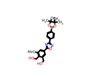 COc1cc(-c2nc(-c3ccc(B4OC(C)(C)C(C)(C)O4)cc3)no2)cc(CO)c1CO